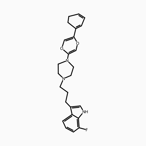 Fc1cccc2c(CCCN3CCN(C4=COC(C5=CC=CCC5)=CO4)CC3)c[nH]c12